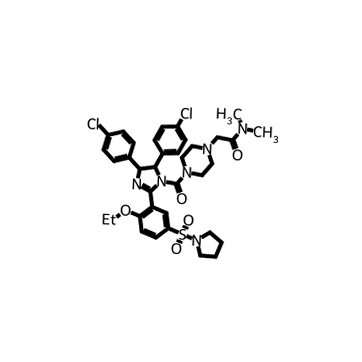 CCOc1ccc(S(=O)(=O)N2CCCC2)cc1C1=NC(c2ccc(Cl)cc2)C(c2ccc(Cl)cc2)N1C(=O)N1CCN(CC(=O)N(C)C)CC1